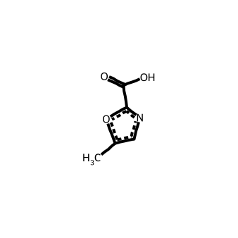 Cc1cnc(C(=O)O)o1